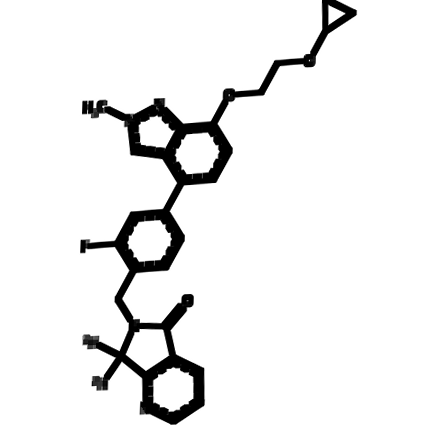 [2H]C1([2H])c2ncccc2C(=O)N1Cc1ccc(-c2ccc(OCCOC3CC3)c3nn(C)cc23)cc1F